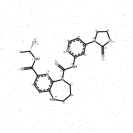 C[C@@H](NC(=O)c1ccc2c(n1)N(C(=O)Nc1cc(N3CCOC3=O)ccn1)CCCN2)C(F)(F)F